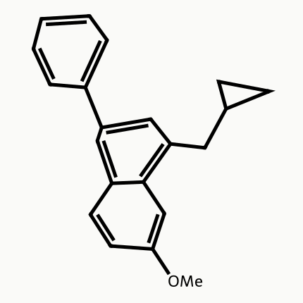 COc1ccc2cc(-c3ccccc3)cc(CC3CC3)c2c1